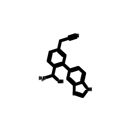 CC(O)c1ccc(CC#N)cc1-c1ccc2[nH]cnc2c1